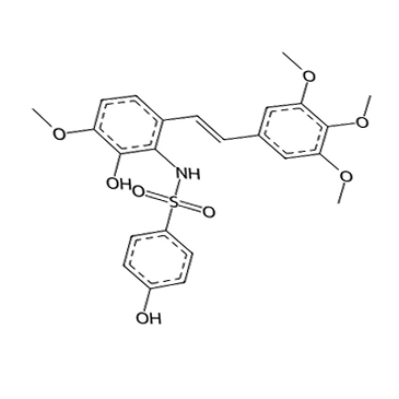 COc1ccc(C=Cc2cc(OC)c(OC)c(OC)c2)c(NS(=O)(=O)c2ccc(O)cc2)c1O